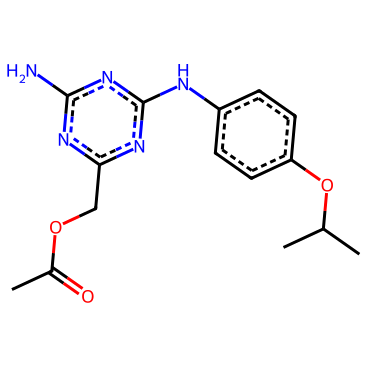 CC(=O)OCc1nc(N)nc(Nc2ccc(OC(C)C)cc2)n1